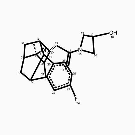 C[C@]1(O)C2CC3CC1CC(C2)[C@@]3(CC(=O)N1CC(O)C1)c1ccc(F)cc1